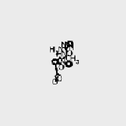 C[C@H](NC(=O)c1c(N)nn2cccnc12)c1cc2cccc(C#CC3COC(=O)C3)c2c(=O)n1-c1ccccc1